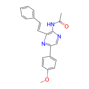 COc1ccc(-c2cnc(NC(C)=O)c(/C=C/c3ccccc3)n2)cc1